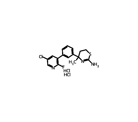 CC1(c2cccc(-c3cc(Cl)cnc3F)c2)CCSC(N)=N1.Cl.Cl